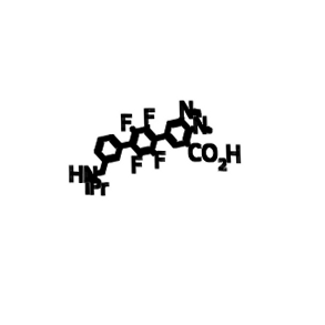 CC(C)NCc1cccc(-c2c(F)c(F)c(-c3cc(C(=O)O)c4c(c3)ncn4C)c(F)c2F)c1